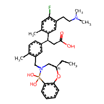 CC[C@@H]1CN(Cc2cc(C(CC(=O)O)c3cc(CCN(C)C)c(F)cc3C)ccc2C)S(O)(O)c2ccccc2O1